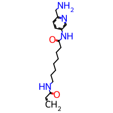 C=CC(=O)NCCCCCCCC(=O)Nc1ccc(CN)nc1